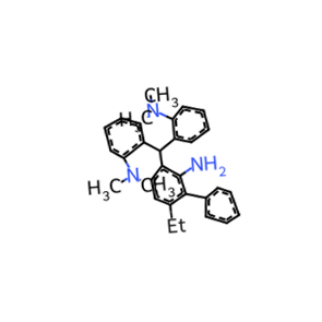 CCc1ccc(C(c2ccccc2N(C)C)c2ccccc2N(C)C)c(N)c1-c1ccccc1